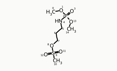 COP(=O)(NCCCOS(C)(=O)=O)OC